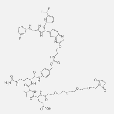 CC(C)[C@H](NC(=O)[C@H](CCC(=O)O)NC(=O)CCOCCOCCOCCOCCN1C(=O)C=CC1=O)C(=O)N[C@@H](CCCNC(N)=O)C(=O)Nc1ccc(COC(=O)NCCOc2cnc3ccc(-c4[nH]c(CNc5cccc(F)c5)nc4-c4cccc(C(F)F)n4)cc3n2)cc1